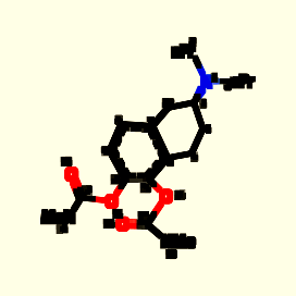 CCCN(CCC)[C@H]1CCc2c(ccc(OC(=O)NC)c2OC(=O)NC)C1